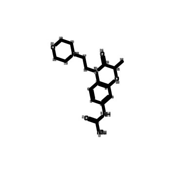 CCCCC(=O)Nc1ccc2c(c1)OC(C)C(=O)N2CCN1CCOCC1